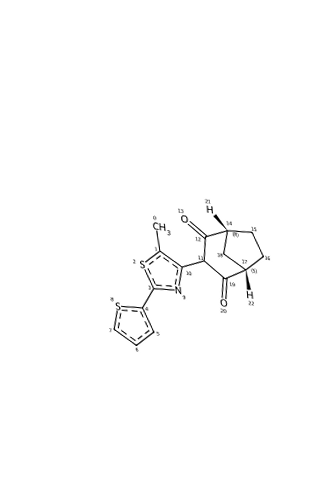 Cc1sc(-c2cccs2)nc1C1C(=O)[C@@H]2CC[C@@H](C2)C1=O